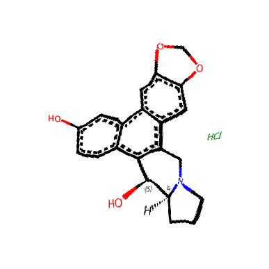 Cl.Oc1ccc2c3c(c4cc5c(cc4c2c1)OCO5)CN1CCC[C@H]1[C@H]3O